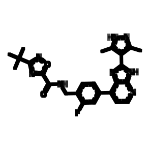 Cc1n[nH]c(C)c1-c1nc2c(-c3ccc(CNC(=O)c4nc(C(C)(C)C)no4)c(F)c3)ccnc2[nH]1